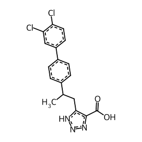 CC(Cc1[nH]nnc1C(=O)O)c1ccc(-c2ccc(Cl)c(Cl)c2)cc1